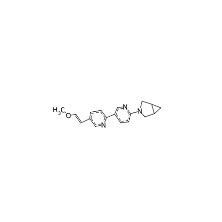 COC=Cc1ccc(-c2ccc(N3CC4CC4C3)nc2)nc1